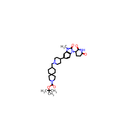 Cn1c(=O)n(C2CCC(=O)NC2=O)c2ccc(C3CCN(CC4CCC5(CC4)CCN(C(=O)OC(C)(C)C)CC5)CC3)cc21